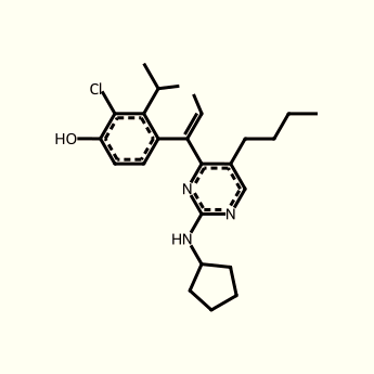 C/C=C(\c1ccc(O)c(Cl)c1C(C)C)c1nc(NC2CCCC2)ncc1CCCC